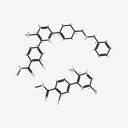 COC(=O)c1ccc(-c2nc(Br)cnc2N)cc1F.COC(=O)c1ccc(-c2nc(C3=CCC(COCc4ccccc4)CC3)cnc2N)cc1F